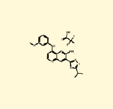 COc1cccc(Nc2ccnc3cc(-c4nnc(C(C)C)s4)c(N)nc23)c1.O=C(O)C(F)(F)F